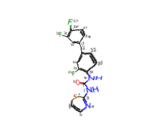 O=C(Nc1nccs1)Nc1ccc(-c2ccc(F)c(F)c2)cc1F